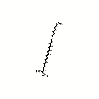 CCCCCCCCCCCCCCCCOCCCCCCCCCCCCCCCCC(C)O